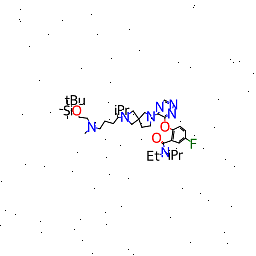 CCN(C(=O)c1cc(F)ccc1Oc1nncnc1N1CCC2(C1)CN(C(CCCN(C)CCO[Si](C)(C)C(C)(C)C)C(C)C)C2)C(C)C